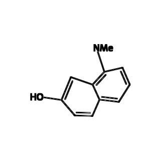 CNc1cccc2ccc(O)cc12